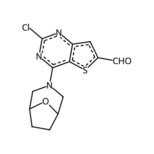 O=Cc1cc2nc(Cl)nc(N3CC4CCC(C3)O4)c2s1